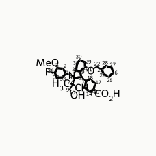 COc1cc(-n2c(C(C)(C)CO)c(-c3ccc(C(=O)O)cc3)c3c(OCc4ccccc4)cccc32)ccc1F